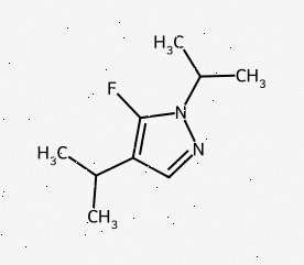 CC(C)c1cnn(C(C)C)c1F